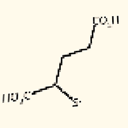 O=C(O)CCC([S])C(=O)O